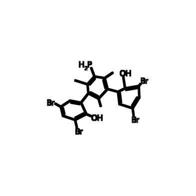 Cc1c(P)c(C)c(-c2cc(Br)cc(Br)c2O)c(C)c1-c1cc(Br)cc(Br)c1O